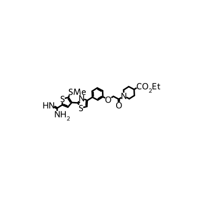 CCOC(=O)C1CCN(C(=O)COc2cccc(-c3csc(-c4cc(C(=N)N)sc4SC)n3)c2)CC1